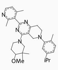 COC1CCN(c2nc(-c3c(C)ccnc3C)nc3c2CN(c2cc(C(C)C)ccc2C)CC3)CC1(C)C